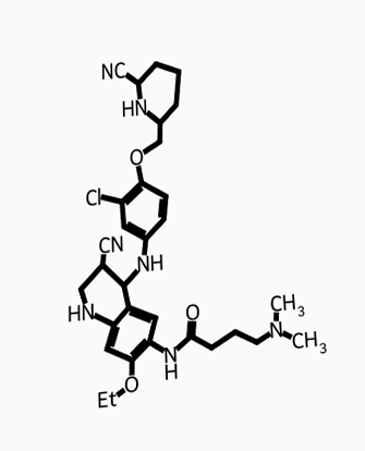 CCOc1cc2c(cc1NC(=O)CCCN(C)C)C(Nc1ccc(OCC3CCCC(C#N)N3)c(Cl)c1)C(C#N)CN2